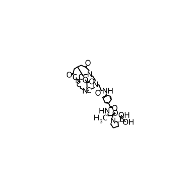 C[C@@H](NC(=O)c1ccc(NC(=O)CN2CCN3CCN4CCN(CC2)CC(=O)OC(CC(=O)C3)CC(=O)C4)cc1)C(=O)N1CCC[C@H]1B(O)O